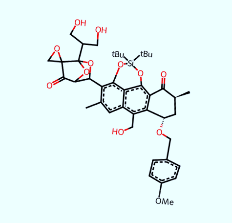 COc1ccc(CO[C@H]2C[C@H](C)C(=O)c3c2c(CO)c2cc(C)c(C4OC5(C(CO)CO)OC4C(=O)C54CO4)c4c2c3O[Si](C(C)(C)C)(C(C)(C)C)O4)cc1